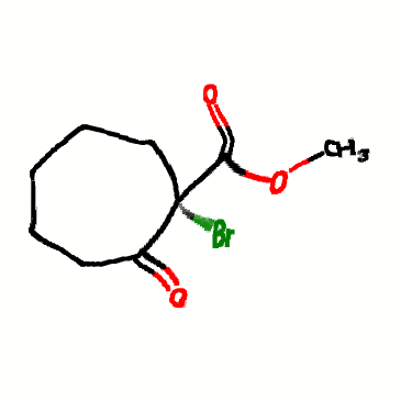 COC(=O)[C@]1(Br)CCCCCC1=O